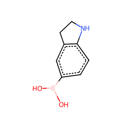 OB(O)c1ccc2c(c1)CCN2